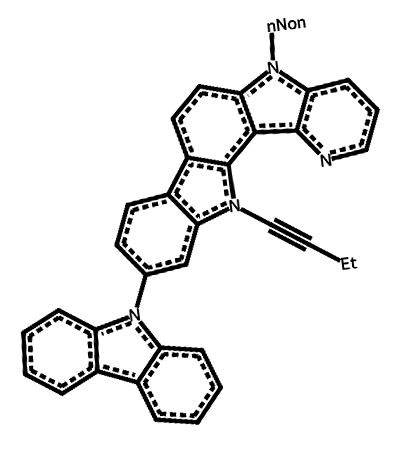 CCC#Cn1c2cc(-n3c4ccccc4c4ccccc43)ccc2c2ccc3c(c4ncccc4n3CCCCCCCCC)c21